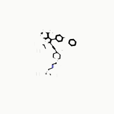 CC(CO)n1c(C#CC2(O)CCN(C(=O)/C=C/CN(C)C)CC2)c(-c2ccc(Oc3ccccc3)cc2)c2c(N)ncnc21